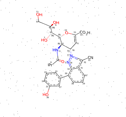 CC(C)C(=O)N[C@H]1[C@H]([C@H](O)[C@H](O)CO)OC(C(=O)O)=C[C@@H]1n1nc2c(-c3cccc(O)c3)cccc2c1C#N